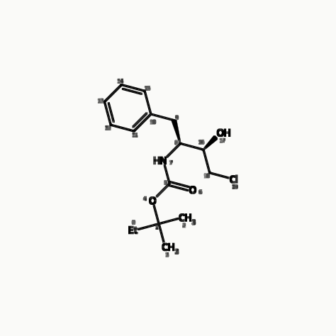 CCC(C)(C)OC(=O)N[C@@H](Cc1ccccc1)[C@@H](O)CCl